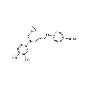 [C-]#[N+]c1ccc(N(CCCOc2ccc(NC(C)=O)cc2)CC2CC2)cc1C(F)(F)F